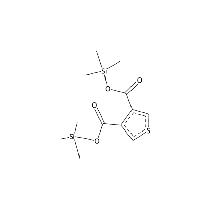 C[Si](C)(C)OC(=O)c1cscc1C(=O)O[Si](C)(C)C